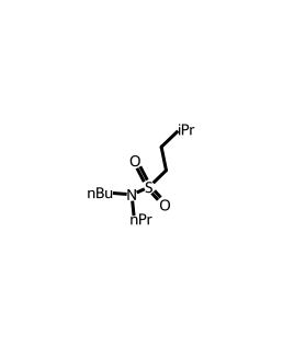 CCCCN(CCC)S(=O)(=O)CCC(C)C